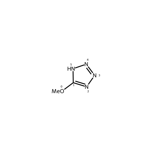 [CH2]Oc1nnn[nH]1